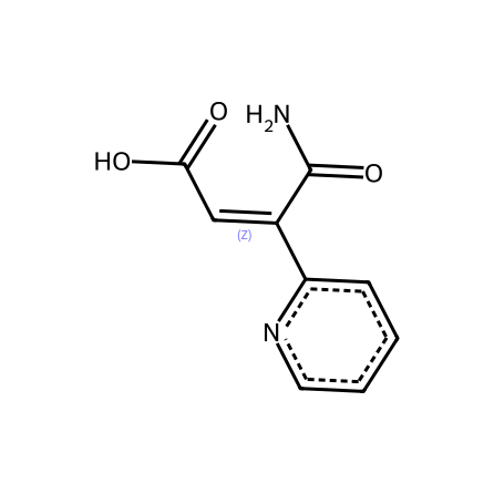 NC(=O)/C(=C\C(=O)O)c1ccccn1